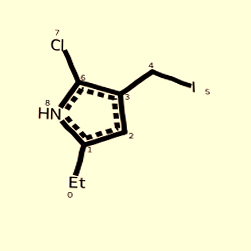 CCc1cc(CI)c(Cl)[nH]1